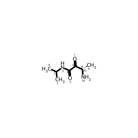 CC(C)NC(=O)C(=O)[C@H](C)N